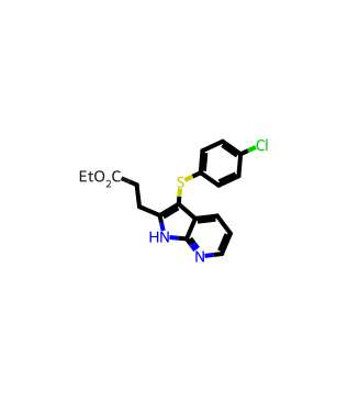 CCOC(=O)CCc1[nH]c2ncccc2c1Sc1ccc(Cl)cc1